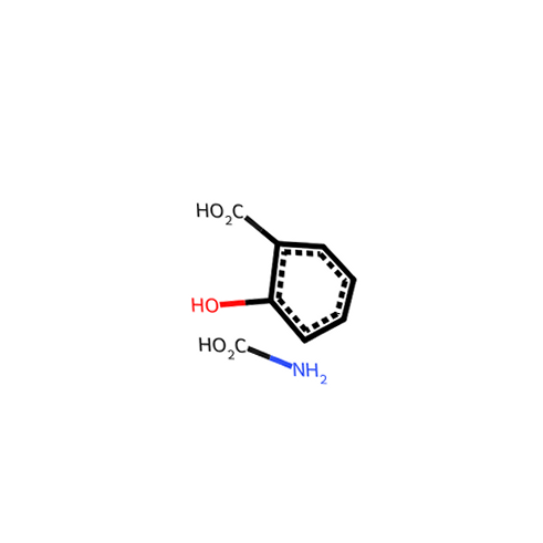 NC(=O)O.O=C(O)c1ccccc1O